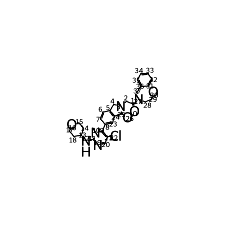 O=C(CN1Cc2ccc(-c3nc(NC4CCOCC4)ncc3Cl)cc2C1=O)N1CCOc2ccccc2C1